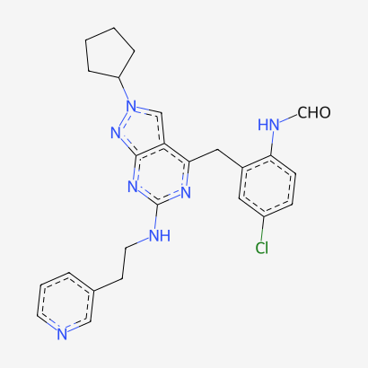 O=CNc1ccc(Cl)cc1Cc1nc(NCCc2cccnc2)nc2nn(C3CCCC3)cc12